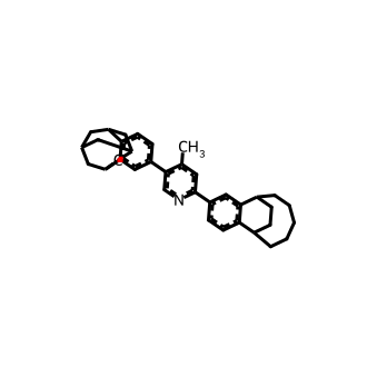 Cc1cc(-c2ccc3c(c2)C2CCCCCC3CC2)ncc1-c1ccc2c(c1)C1CC3CC(CC2C3)C1